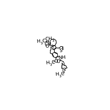 CCN1CCN(CC(=O)Nc2cc3c(cc2OC)CCn2c4c(c(C5CC=CS5)c2-3)CCCCN(C(C)(C)C)C4=O)CC1